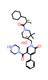 C[C@H](CC1CCCCC1)C(=O)N1CC[C@](O)(Cn2cc(C(=O)N3CCNCC3)c(-c3ccccc3)cc2=O)C(C)(C)C1